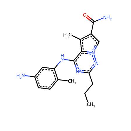 CCCc1nc(Nc2cc(N)ccc2C)c2c(C)c(C(N)=O)cn2n1